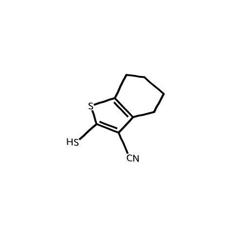 N#Cc1c(S)sc2c1CCCC2